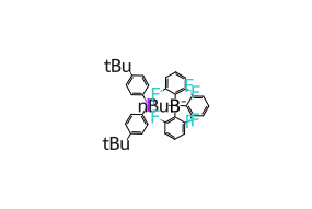 CC(C)(C)c1ccc([I+]c2ccc(C(C)(C)C)cc2)cc1.CCCC[B-](c1c(F)cccc1F)(c1c(F)cccc1F)c1c(F)cccc1F